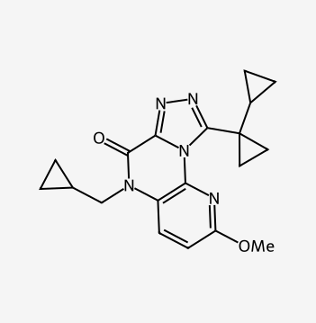 COc1ccc2c(n1)n1c(C3(C4CC4)CC3)nnc1c(=O)n2CC1CC1